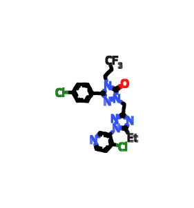 CCc1nc(Cn2nc(-c3ccc(Cl)cc3)n(CCC(F)(F)F)c2=O)nn1-c1cnccc1Cl